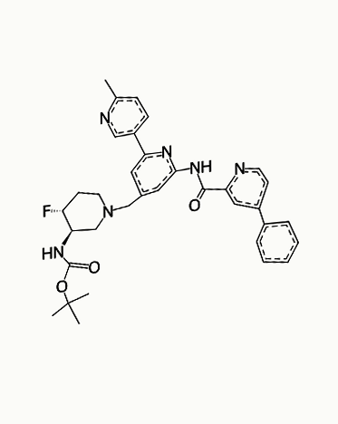 Cc1ccc(-c2cc(CN3CC[C@@H](F)[C@H](NC(=O)OC(C)(C)C)C3)cc(NC(=O)c3cc(-c4ccccc4)ccn3)n2)cn1